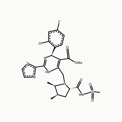 COC(=O)C1=C(CN2[C@H](C)[C@H](C)C[C@H]2C(=O)NS(C)(=O)=O)NC(c2nccs2)=N[C@H]1c1ccc(F)cc1Cl